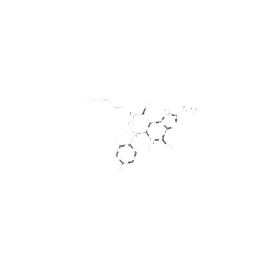 CNc1nc2c(C(=O)NOCCO)c(Nc3ccc(I)cc3F)n(C)c(=O)c2s1